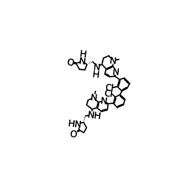 CN1CCC(NC[C@@H]2CCC(=O)N2)c2ccc(-c3cccc(-c4cccc(-c5ccc6c(n5)N(C)CCC6NC[C@@H]5CCC(=O)N5)c4Cl)c3Cl)nc21